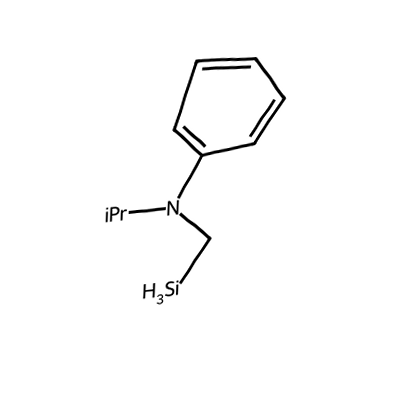 CC(C)N(C[SiH3])c1ccccc1